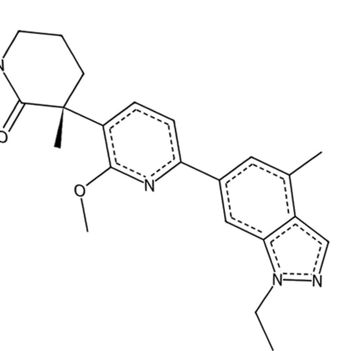 CCn1ncc2c(C)cc(-c3ccc([C@@]4(C)CCCNC4=O)c(OC)n3)cc21